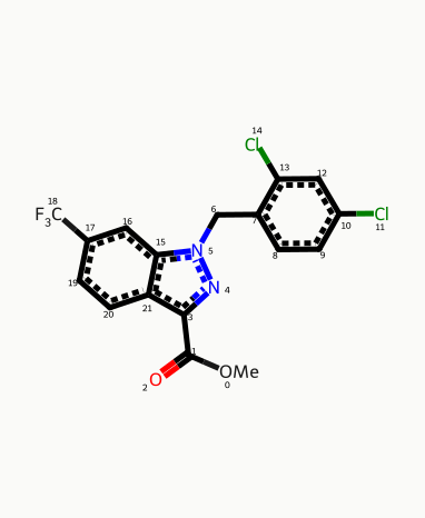 COC(=O)c1nn(Cc2ccc(Cl)cc2Cl)c2cc(C(F)(F)F)ccc12